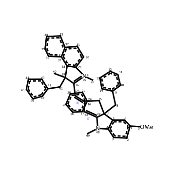 COc1ccc2c(c1)C(Cc1ccccc1)(Cc1ccccc1)/C(=C\C=C\C1=[N+](C)c3ccc4ccccc4c3C1(C)Cc1ccccc1)N2C